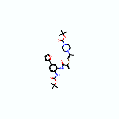 C=C(S/C=C(\C)N1CCN(C(=O)OC(C)(C)C)CC1)C(=O)Nc1cc(-c2ccco2)ccc1NC(=O)OC(C)(C)C